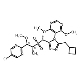 COc1ncnc(OC)c1-n1c(CC2CCC2)nnc1NS(=O)(=O)[C@@H](C)[C@H](OC)c1ncc(Cl)cn1